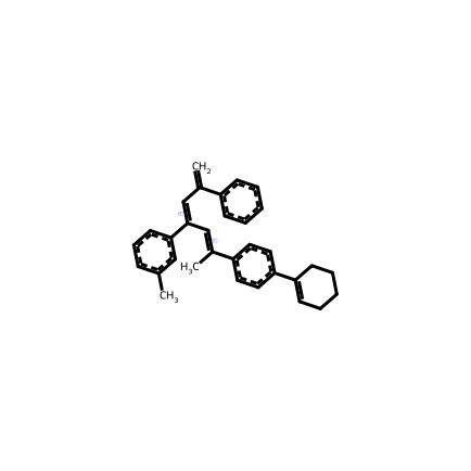 C=C(/C=C(\C=C(/C)c1ccc(C2=CCCCC2)cc1)c1cccc(C)c1)c1ccccc1